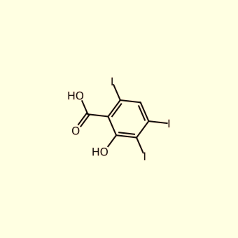 O=C(O)c1c(I)cc(I)c(I)c1O